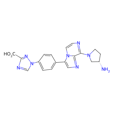 N[C@H]1CCN(c2nccn3c(-c4ccc(-n5cnc(C(=O)O)n5)cc4)cnc23)C1